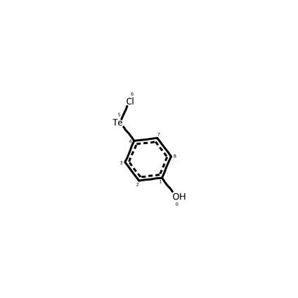 Oc1ccc([Te]Cl)cc1